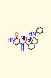 Nc1c(NC(=O)c2cccc3ccc(Nc4ccccc4)nc23)cc[nH]c1=O